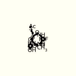 C/C=C1\NC(=O)c2cc(F)cc(n2)CNC(=O)C[C@@H](/C=C/CCSC(C)=O)OC(=O)[C@H](Cc2ccc(O)cc2)NC1=O